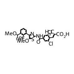 CCCC(OC)c1cccc(-c2nc(NC(=O)c3cc(Cl)c(/C=C(\C)C(=O)O)c(Cl)c3)sc2OC)c1F